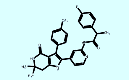 Cc1ccc(-c2c(-c3ccnc(NC(=O)C(C)c4ccc(F)cc4)c3)[nH]c3c2C(=O)NC(C)(C)C3)cc1